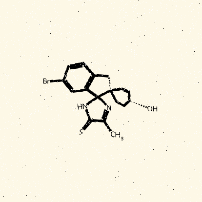 CC1=NC2(NC1=S)c1cc(Br)ccc1C[C@]21CC[C@@H](O)CC1